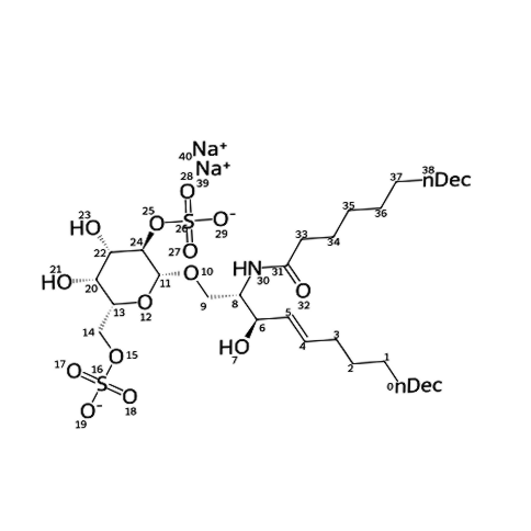 CCCCCCCCCCCCC/C=C/[C@@H](O)[C@H](CO[C@@H]1O[C@H](COS(=O)(=O)[O-])[C@H](O)[C@H](O)[C@H]1OS(=O)(=O)[O-])NC(=O)CCCCCCCCCCCCCCC.[Na+].[Na+]